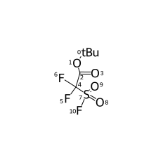 CC(C)(C)OC(=O)C(F)(F)S(=O)(=O)F